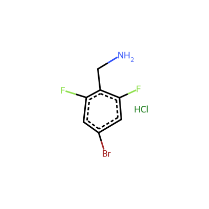 Cl.NCc1c(F)cc(Br)cc1F